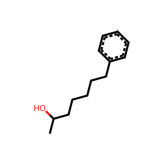 CC(O)CCCCCc1cc[c]cc1